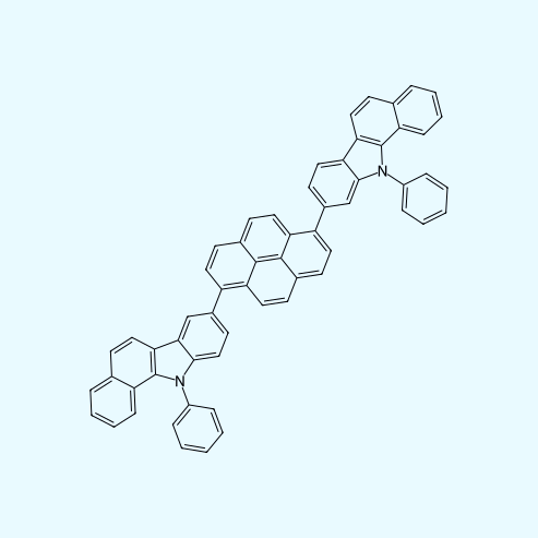 c1ccc(-n2c3ccc(-c4ccc5ccc6c(-c7ccc8c9ccc%10ccccc%10c9n(-c9ccccc9)c8c7)ccc7ccc4c5c76)cc3c3ccc4ccccc4c32)cc1